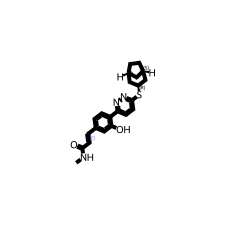 CNC(=O)/C=C/c1ccc(-c2ccc(S[C@H]3C[C@@H]4CC[C@@H](C4)C3)nn2)c(O)c1